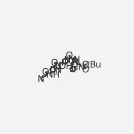 CN(C)CCC(=O)Nc1ccc2c(=O)n(CC3(O)CCN(C(=O)c4cnn(CCNC(=O)OC(C)(C)C)c4Cc4ccccc4)CC3)cnc2c1